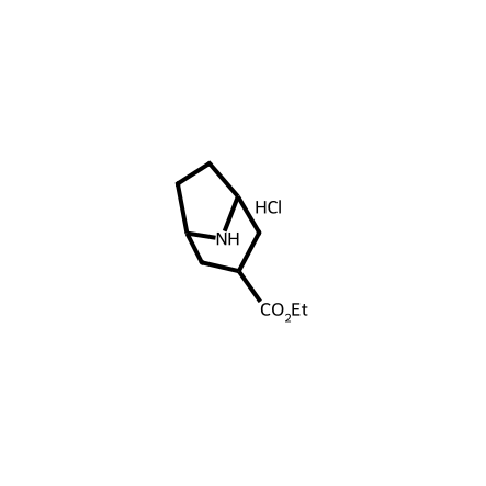 CCOC(=O)C1CC2CCC(C1)N2.Cl